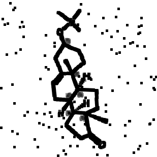 C[C@]12CC[C@H](O[Si](C)(C)C)CC1=CC[C@@H]1[C@@H]2CC[C@]2(C)C(=O)CC[C@@H]12